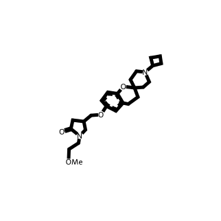 COCCN1CC(COc2ccc3c(c2)CCC2(CCN(C4CCC4)CC2)O3)CC1=O